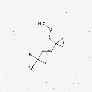 COCC1(/C=C/C(C)(F)F)CC1